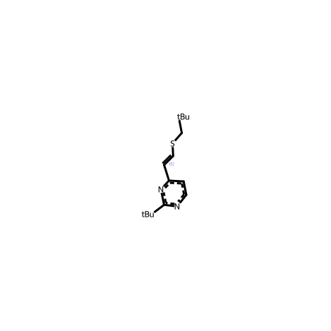 CC(C)(C)CS/C=C/c1ccnc(C(C)(C)C)n1